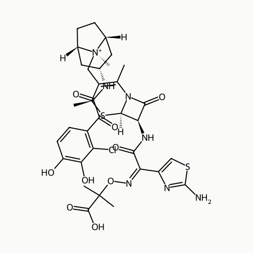 CC1=C(C[N@+]2(C)[C@@H]3CC[C@H]2C[C@@H](NC(=O)C(=O)c2ccc(O)c(O)c2Cl)C3)[C@H](C)S[C@@H]2[C@H](NC(=O)/C(=N\OC(C)(C)C(=O)O)c3csc(N)n3)C(=O)N12